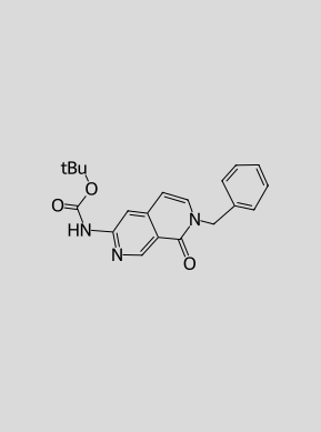 CC(C)(C)OC(=O)Nc1cc2ccn(Cc3ccccc3)c(=O)c2cn1